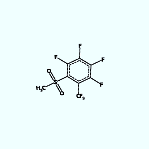 CS(=O)(=O)c1c(F)c(F)c(F)c(F)c1C(F)(F)F